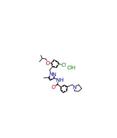 Cc1cc(NC(=O)c2cccc(CN3CCCC3)c2)nn1Cc1cc(Cl)ccc1OCC(C)C.Cl